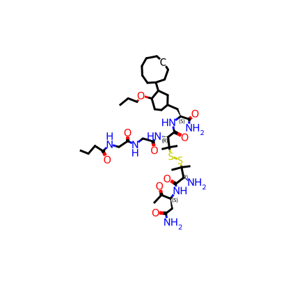 CCCOC1CCC(C[C@H](NC(=O)[C@@H](NC(=O)CNC(=O)CNC(=O)CCC)C(C)(C)SSC(C)(C)[C@H](N)C(=O)N[C@@H](CC(N)=O)C(C)=O)C(N)=O)CC1C1CCCCCCCC1